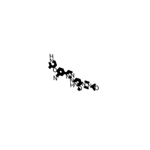 COc1nc(Nc2nccc(-c3ccc(OC4CCNCC4C)c(C#N)c3)n2)ccc1N1CCN(C2COC2)CC1